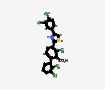 O=C(O)c1c(-c2cccc(Cl)c2Cl)ccc(-c2nc(-c3ccc(Cl)c(Cl)c3)cs2)c1Cl